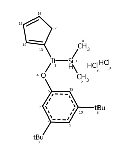 C[SiH](C)[Ti]([O]c1cc(C(C)(C)C)cc(C(C)(C)C)c1)[C]1=CC=CC1.Cl.Cl